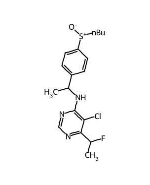 CCCC[S+]([O-])c1ccc(C(C)Nc2ncnc(C(C)F)c2Cl)cc1